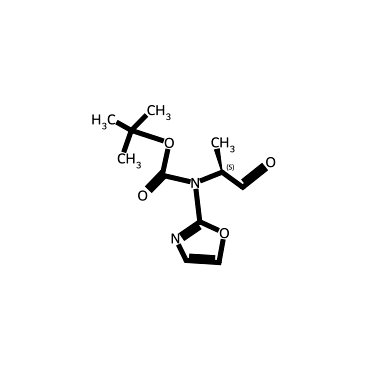 C[C@@H](C=O)N(C(=O)OC(C)(C)C)c1ncco1